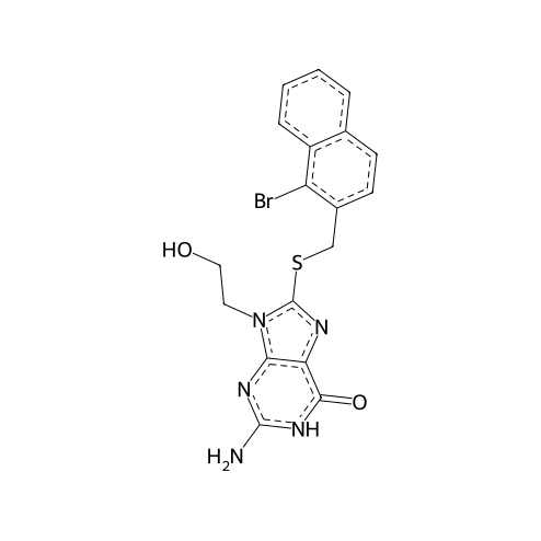 Nc1nc2c(nc(SCc3ccc4ccccc4c3Br)n2CCO)c(=O)[nH]1